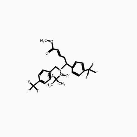 COC(=O)C=CCC(c1ccc(C(F)(F)F)cc1)N(Cc1ccc(C(F)(F)F)cc1)[S+]([O-])C(C)(C)C